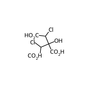 O=C(O)C(Cl)C(O)(C(=O)O)C(Cl)C(=O)O